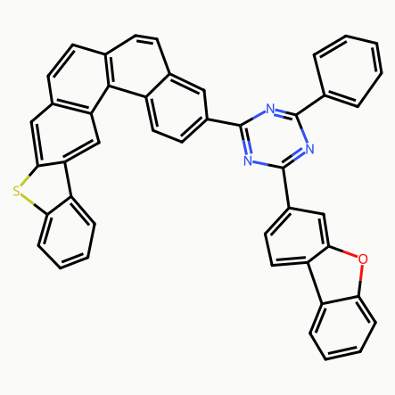 c1ccc(-c2nc(-c3ccc4c(ccc5ccc6cc7sc8ccccc8c7cc6c54)c3)nc(-c3ccc4c(c3)oc3ccccc34)n2)cc1